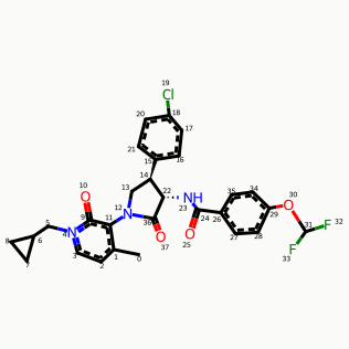 Cc1ccn(CC2CC2)c(=O)c1N1C[C@@H](c2ccc(Cl)cc2)[C@H](NC(=O)c2ccc(OC(F)F)cc2)C1=O